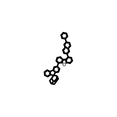 c1ccc(-c2ccc3cc(-c4cccc5oc6c(-c7ccc8c(c7)-c7ccccc7C87C8CC9CC(C8)CC7C9)cccc6c45)ccc3c2)cc1